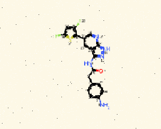 Nc1ccc(CC(=O)Nc2n[nH]c3ncc(-c4sc(F)cc4F)cc23)cc1